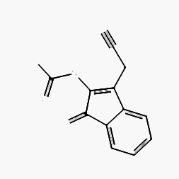 C#CCC1=C(NC(=O)C(C)C)C(=O)c2ccccc21